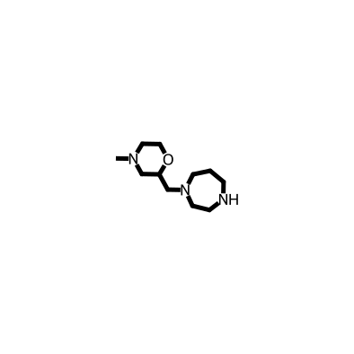 CN1CCOC(CN2CCCNCC2)C1